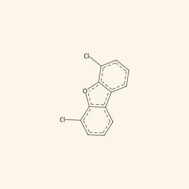 Clc1cccc2c1oc1c(Cl)cccc12